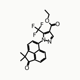 CCOC(=O)c1cnn(-c2ccc3c4c(cccc24)C(=O)C3(C)C)c1C(F)(F)F